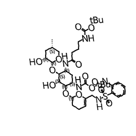 C[C@@H]1CO[C@H](O[C@@H]2[C@@H](O)[C@H](O[C@@H]3CCC=C(CNS(=O)(=O)c4ccccc4[N+](=O)[O-])O3)[C@@H](NC(=O)OC(C)(C)C)C[C@H]2NC(=O)CCCNC(=O)OC(C)(C)C)[C@H](O)C1